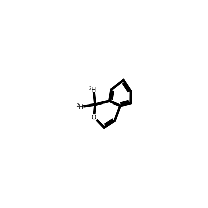 [2H]C1([2H])OC=Cc2ccccc21